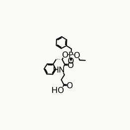 CCOP(=O)(Cc1ccccc1)O[C@@H](Cc1ccccc1)C(=O)NCCC(=O)O